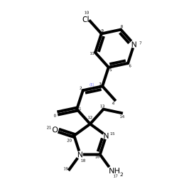 C=C(/C=C(\C)c1cncc(Cl)c1)C1(CC)N=C(N)N(C)C1=O